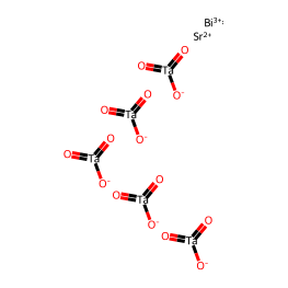 [Bi+3].[O]=[Ta](=[O])[O-].[O]=[Ta](=[O])[O-].[O]=[Ta](=[O])[O-].[O]=[Ta](=[O])[O-].[O]=[Ta](=[O])[O-].[Sr+2]